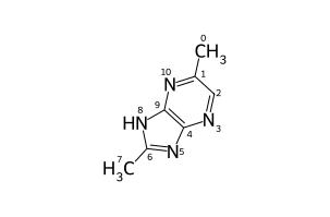 Cc1cnc2nc(C)[nH]c2n1